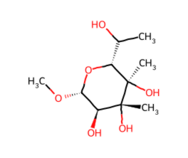 CO[C@@H]1O[C@H](C(C)O)[C@@](C)(O)[C@](C)(O)[C@H]1O